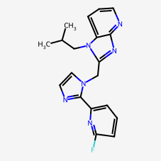 CC(C)Cn1c(Cn2ccnc2-c2cccc(F)n2)nc2ncccc21